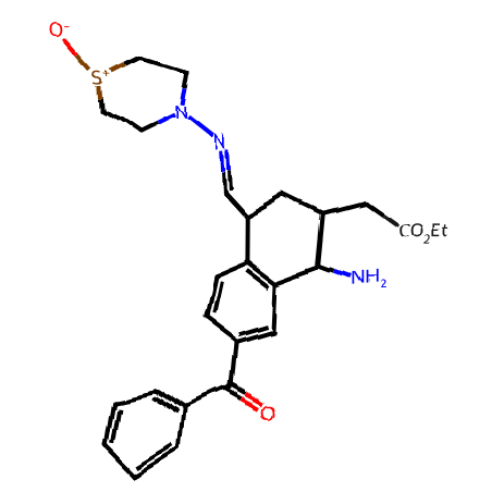 CCOC(=O)CC1CC(C=NN2CC[S+]([O-])CC2)c2ccc(C(=O)c3ccccc3)cc2C1N